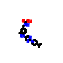 Cc1cc(CNC(=O)O)ccc1Nc1cnc(N2CCC(C(C)C)CC2)nc1